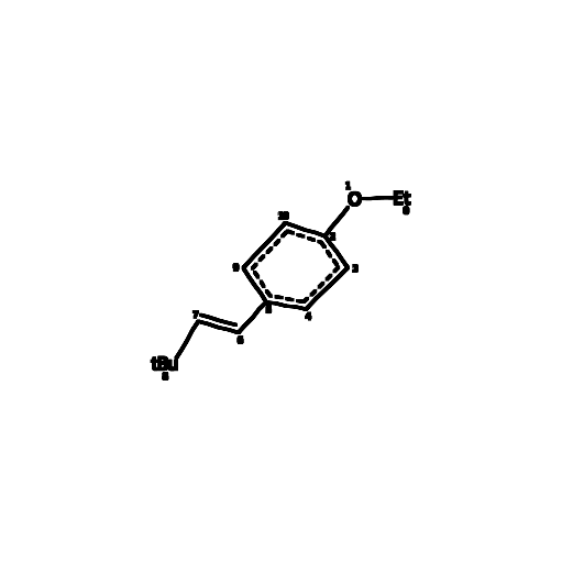 CCOc1ccc(/C=C/C(C)(C)C)cc1